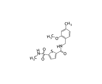 CNS(=O)(=O)c1ccc(C(=O)NCc2ccc(C)cc2OC)s1